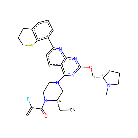 C=C(F)C(=O)N1CCN(c2nc(OC[C@@H]3CCCN3C)nc3nc(-c4cccc5c4SCCC5)ccc23)C[C@@H]1CC#N